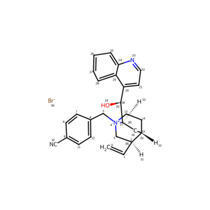 C=C[C@H]1C[N+]2(Cc3ccc(C#N)cc3)CC[C@H]1C[C@@H]2[C@@H](O)c1ccnc2ccccc12.[Br-]